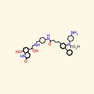 NC1CCC(N(C(=O)O)c2cc(CCCC(=O)NC3CCC(CNC[C@H](O)c4ccc(O)c5[nH]c(=O)ccc45)CC3)ccc2-c2ccccc2)CC1